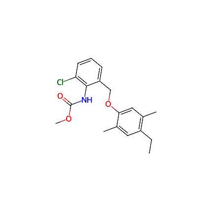 CCc1cc(C)c(OCc2cccc(Cl)c2NC(=O)OC)cc1C